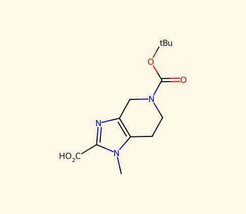 Cn1c(C(=O)O)nc2c1CCN(C(=O)OC(C)(C)C)C2